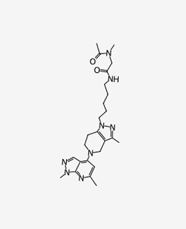 CC(=O)N(C)CC(=O)NCCCCCn1nc(C)c2c1CCN(c1cc(C)nc3c1cnn3C)C2